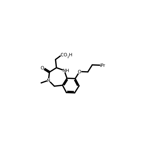 CC(C)CCOc1cccc2c1NC(CC(=O)O)C(=O)N(C)C2